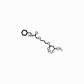 CC(C)CC(=O)OCCCOCC(=O)NCc1ccccc1